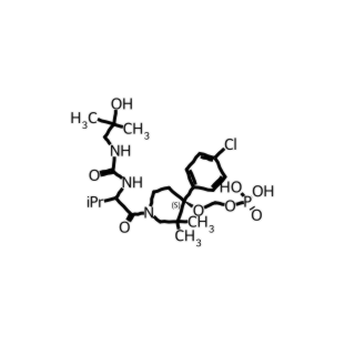 CC(C)C(NC(=O)NCC(C)(C)O)C(=O)N1CC[C@](OCOP(=O)(O)O)(c2ccc(Cl)cc2)C(C)(C)C1